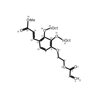 C=CC(=O)OCCOc1ccc(/C=C/C(=O)OC)c(OCCCCCCCC)c1OCCCCCCCC